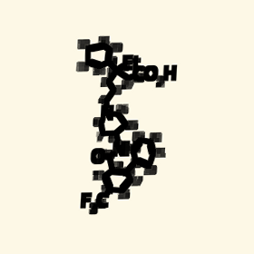 CCC(CCCN1CCC(NC(=O)c2cc(C(F)(F)F)ccc2-c2ccccc2)CC1)(CC(=O)O)c1ccccc1